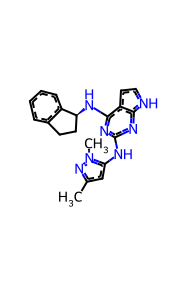 Cc1cc(Nc2nc(N[C@H]3CCc4ccccc43)c3cc[nH]c3n2)n(C)n1